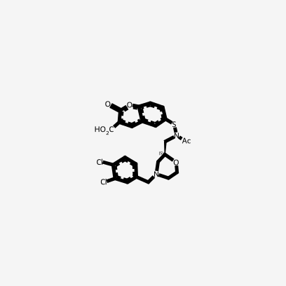 CC(=O)N(C[C@@H]1CN(Cc2ccc(Cl)c(Cl)c2)CCO1)Sc1ccc2oc(=O)c(C(=O)O)cc2c1